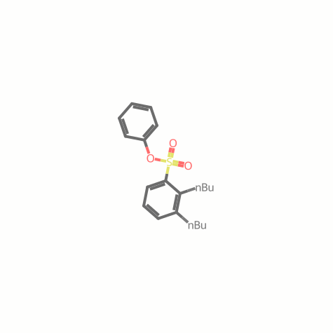 CCCCc1cccc(S(=O)(=O)Oc2ccccc2)c1CCCC